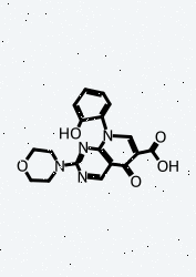 O=C(O)c1cn(-c2ccccc2O)c2nc(N3CCOCC3)ncc2c1=O